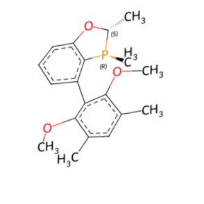 COc1c(C)cc(C)c(OC)c1-c1cccc2c1[P@](C)[C@@H](C)O2